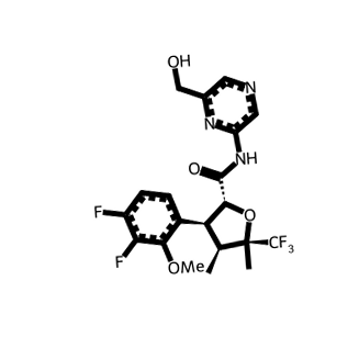 COc1c([C@H]2[C@H](C(=O)Nc3cncc(CO)n3)O[C@@](C)(C(F)(F)F)[C@H]2C)ccc(F)c1F